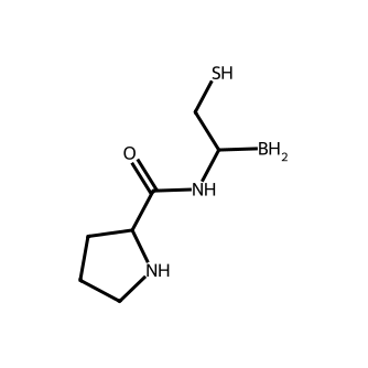 BC(CS)NC(=O)C1CCCN1